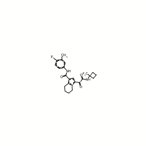 Cc1cc(NC(=O)c2cc(C(=O)C(=O)NC3(C(F)(F)F)CCC3)n3c2CCCC3)ccc1F